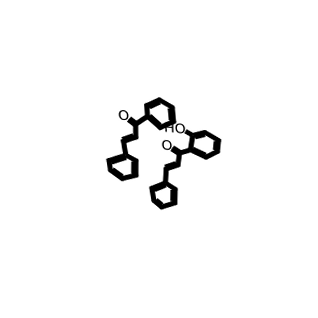 O=C(/C=C/c1ccccc1)c1ccccc1.O=C(/C=C/c1ccccc1)c1ccccc1O